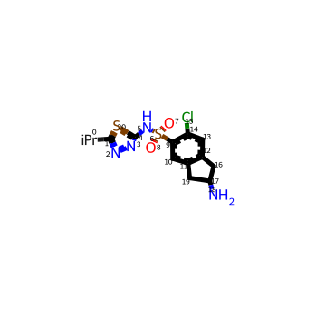 CC(C)c1nnc(NS(=O)(=O)c2cc3c(cc2Cl)CC(N)C3)s1